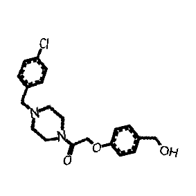 O=C(COc1ccc(CO)cc1)N1CCN(Cc2ccc(Cl)cc2)CC1